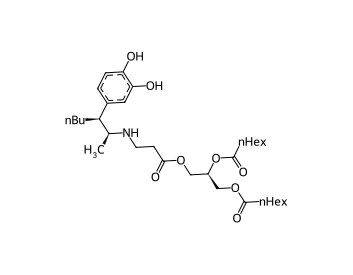 CCCCCCC(=O)OC[C@@H](COC(=O)CCN[C@@H](C)[C@@H](CCCC)c1ccc(O)c(O)c1)OC(=O)CCCCCC